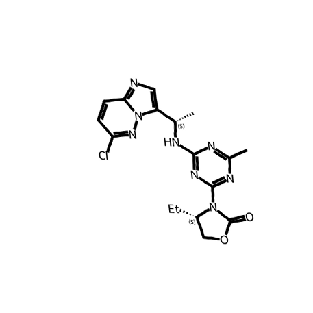 CC[C@H]1COC(=O)N1c1nc(C)nc(N[C@@H](C)c2cnc3ccc(Cl)nn23)n1